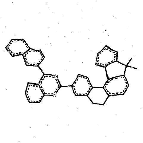 CC1(C)c2ccccc2-c2c1ccc1c2-c2ccc(-c3nc(-c4ccc5ccccc5c4)c4ccccc4n3)cc2CC1